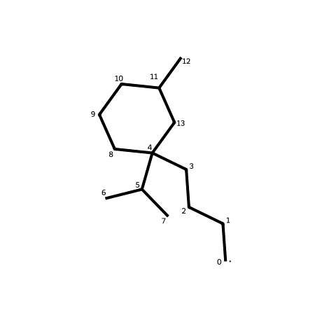 [CH2]CCCC1(C(C)C)CCCC(C)C1